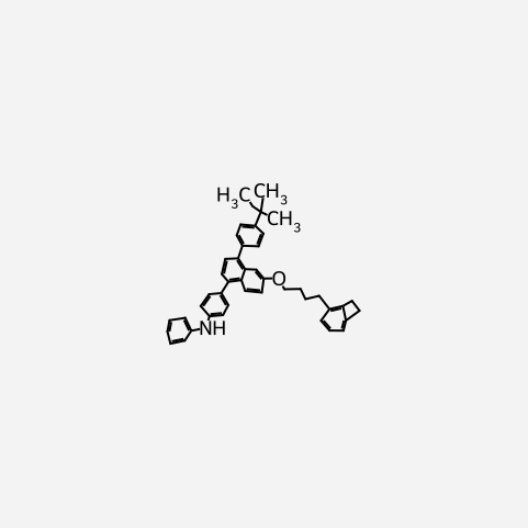 CCC(C)(CC)c1ccc(-c2ccc(-c3ccc(Nc4ccccc4)cc3)c3ccc(OCCCCc4cccc5c4CC5)cc23)cc1